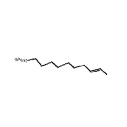 CC=CCCCCCCCCCCCC